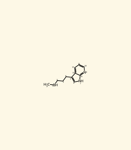 CBCCCc1c[nH]c2ncccc12